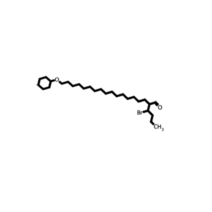 CCCC(Br)C([C]=O)CCCCCCCCCCCCCCCCOC1CC[CH]CC1